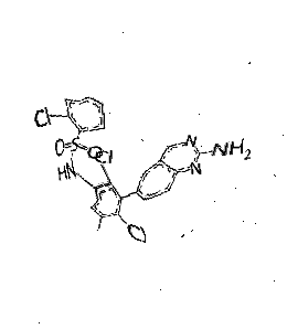 Cc1cc(NS(=O)(=O)c2ccccc2Cl)c(Cl)c(-c2ccc3nc(N)ncc3c2)c1Cl